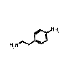 NC[CH]c1ccc(N)cc1